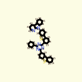 c1ccc(-c2nc(-c3ccc4sc5ccccc5c4c3)nc(-c3cccc4c3sc3cc(-n5c6ccccc6c6cccnc65)ccc34)n2)cc1